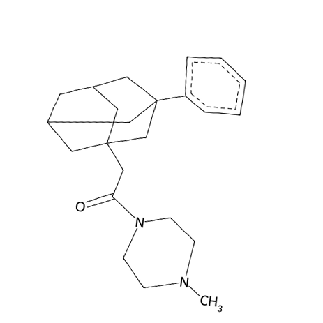 CN1CCN(C(=O)CC23CC4CC(C2)CC(c2ccccc2)(C4)C3)CC1